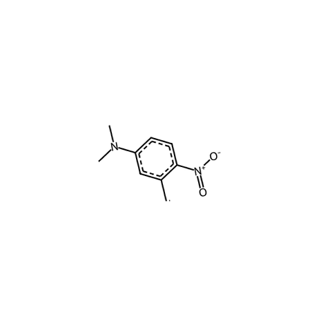 [CH2]c1cc(N(C)C)ccc1[N+](=O)[O-]